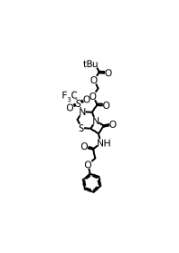 CC(C)(C)C(=O)OCOC(=O)C1N2C(=O)C(NC(=O)COc3ccccc3)C2SCN1S(=O)(=O)C(F)(F)F